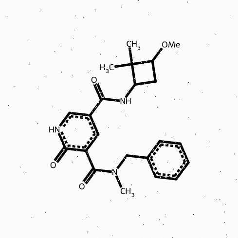 COC1CC(NC(=O)c2c[nH]c(=O)c(C(=O)N(C)Cc3ccccc3)c2)C1(C)C